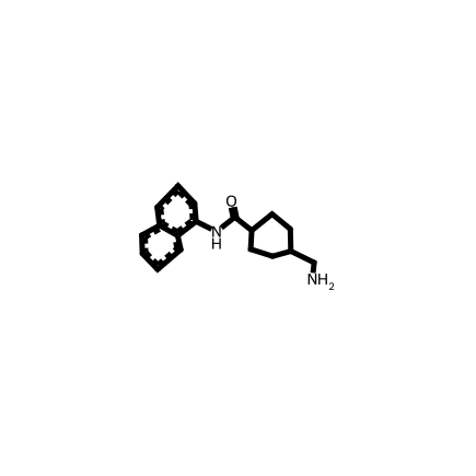 NCC1CCC(C(=O)Nc2cccc3ccccc23)CC1